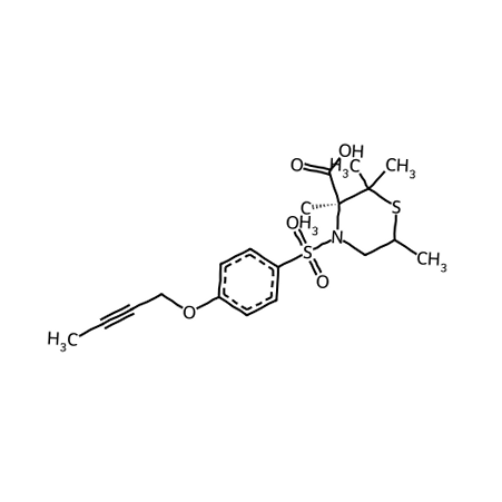 CC#CCOc1ccc(S(=O)(=O)N2CC(C)SC(C)(C)[C@]2(C)C(=O)O)cc1